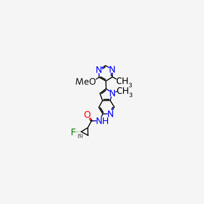 COc1ncnc(C)c1-c1cc2cc(NC(=O)C3C[C@@H]3F)ncc2n1C